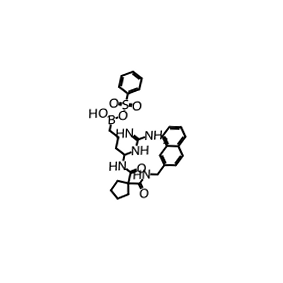 N=C(N)NC(CCCB(O)OS(=O)(=O)c1ccccc1)NC(=O)C1(C(=O)NCc2ccc3ccccc3c2)CCCC1